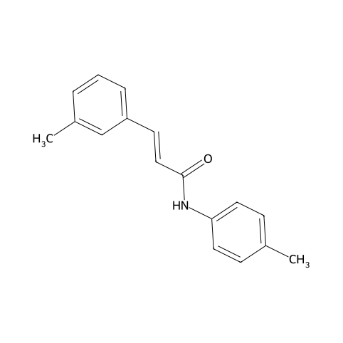 Cc1ccc(NC(=O)/C=C/c2cccc(C)c2)cc1